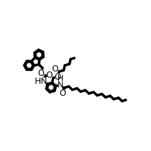 CCCCCCCCCCCCCCCC(=O)Nc1cccc(NC(=O)OCC2c3ccccc3-c3ccccc32)c1COC(=O)CCCCC